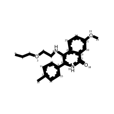 CCCOCCNc1c(-c2ccc(C)cc2)[nH]c(=O)c2cc(OC)ccc12